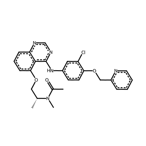 CC(=O)N(C)[C@H](C)COc1cccc2ncnc(Nc3ccc(OCc4ccccn4)c(Cl)c3)c12